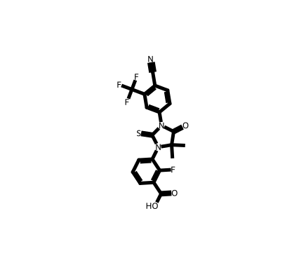 CC1(C)C(=O)N(c2ccc(C#N)c(C(F)(F)F)c2)C(=S)N1c1cccc(C(=O)O)c1F